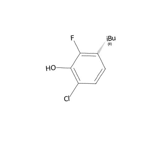 CC[C@@H](C)c1ccc(Cl)c(O)c1F